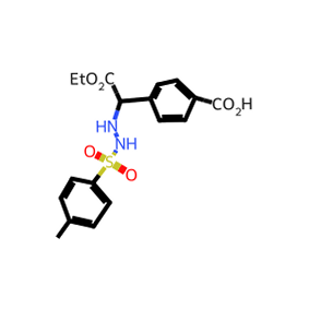 CCOC(=O)C(NNS(=O)(=O)c1ccc(C)cc1)c1ccc(C(=O)O)cc1